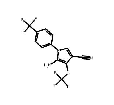 N#Cc1cn(-c2ccc(C(F)(F)F)cc2)c(N)c1SC(F)(F)F